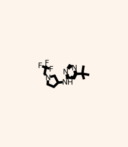 CC(C)(C)c1cc(NC2CCN(CC(F)(F)F)C2)ncn1